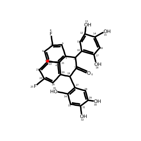 O=C(C(c1cccc(F)c1)c1cc(O)c(O)cc1O)C(c1cccc(F)c1)c1cc(O)c(O)cc1O